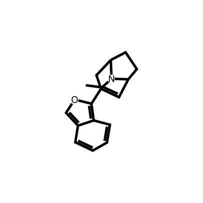 CCN1C2C=C(c3occ4ccccc34)CC1CC2